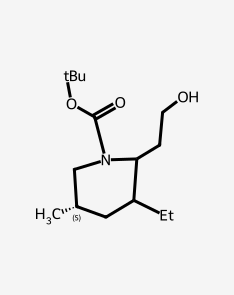 CCC1C[C@H](C)CN(C(=O)OC(C)(C)C)C1CCO